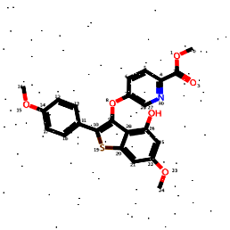 COC(=O)c1ccc(Oc2c(-c3ccc(OC)cc3)sc3cc(OC)cc(O)c23)cn1